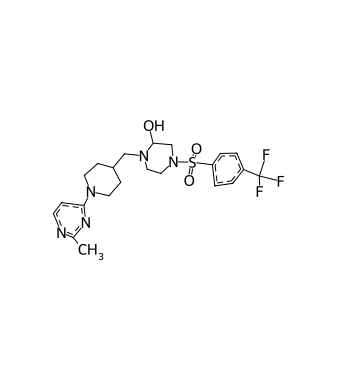 Cc1nccc(N2CCC(CN3CCN(S(=O)(=O)c4ccc(C(F)(F)F)cc4)CC3O)CC2)n1